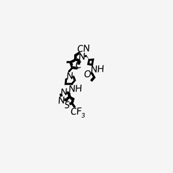 C=CC(=O)N[C@H]1C[C@H](Cn2c(C#N)cc3c(C)c(CN4CCC(Nc5ncnc6sc(CC(F)(F)F)cc56)CC4)ccc32)C1